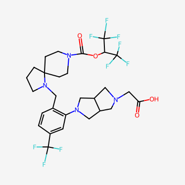 O=C(O)CN1CC2CN(c3cc(C(F)(F)F)ccc3CN3CCCC34CCN(C(=O)OC(C(F)(F)F)C(F)(F)F)CC4)CC2C1